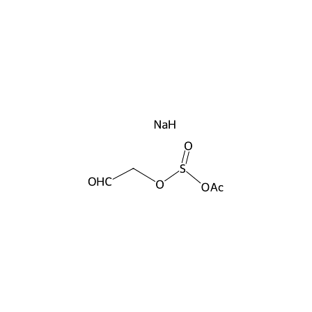 CC(=O)OS(=O)OCC=O.[NaH]